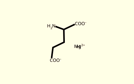 I.NC(CCC(=O)[O-])C(=O)[O-].[Mg+2]